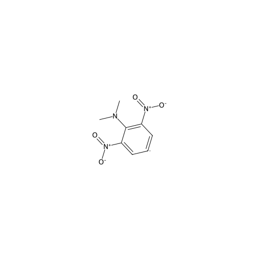 CN(C)c1c([N+](=O)[O-])c[c]cc1[N+](=O)[O-]